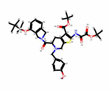 COc1ccc(CN2Cc3sc(NC(=O)C(=O)OC(C)(C)C)c(C(=O)OC(C)(C)C)c3CC2C(=O)N2Cc3cccc(O[Si](C)(C)C(C)(C)C)c3C2)cc1